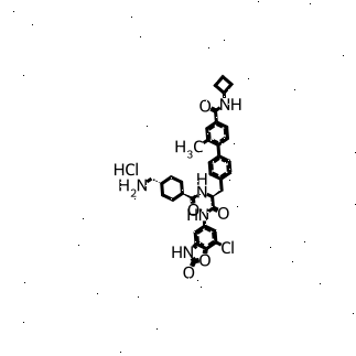 Cc1cc(C(=O)NC2CCC2)ccc1-c1ccc(C[C@H](NC(=O)[C@H]2CC[C@H](CN)CC2)C(=O)Nc2cc(Cl)c3oc(=O)[nH]c3c2)cc1.Cl